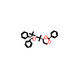 CC(C)(CO[Si](c1ccccc1)(c1ccccc1)C(C)(C)C)[C@@H]1CCO[C@H](c2ccccc2)O1